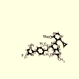 COc1ncnc(C2CC2)c1-c1nc(N(C)Cc2ccc(-c3nc(C(F)(F)F)cn3C(C)C)cc2)c2c(n1)nc(C)n2C